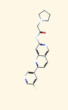 O=C(CN1CCCC1)Nc1cc2nc(-c3cncc(F)c3)ccc2cn1